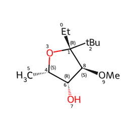 CC[C@]1(C(C)(C)C)O[C@@H](C)[C@@H](O)[C@@H]1OC